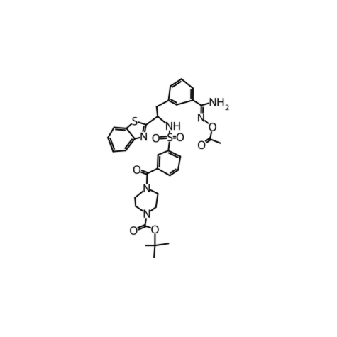 CC(=O)ON=C(N)c1cccc(CC(NS(=O)(=O)c2cccc(C(=O)N3CCN(C(=O)OC(C)(C)C)CC3)c2)c2nc3ccccc3s2)c1